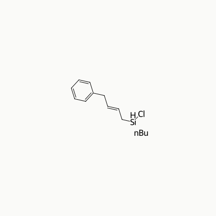 CCCC[SiH](Cl)CC=CCc1ccccc1